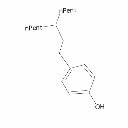 CCCCCC(CCCCC)CCc1ccc(O)cc1